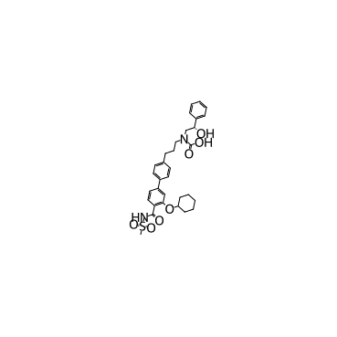 CS(=O)(=O)NC(=O)c1ccc(-c2ccc(CCCN(C[C@@H](O)c3ccccc3)C(=O)O)cc2)cc1OC1CCCCC1